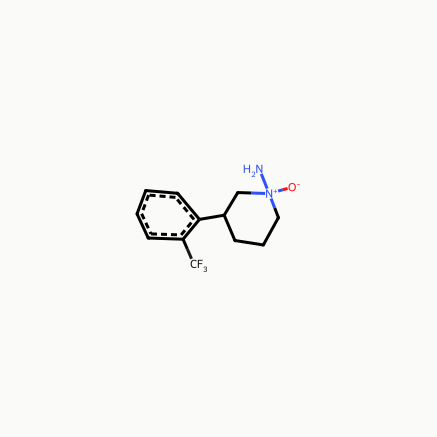 N[N+]1([O-])CCCC(c2ccccc2C(F)(F)F)C1